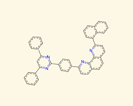 c1ccc(-c2cc(-c3ccccc3)nc(-c3ccc(-c4ccc5ccc6ccc(-c7cccc8ccccc78)nc6c5n4)cc3)n2)cc1